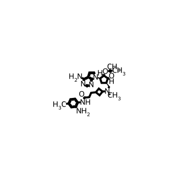 Cc1ccc(NC(=O)CCC2CC(N(C)C[C@H]3C[C@@H](n4ccc5c(N)ncnc54)[C@@H]4OC(C)(C)O[C@H]34)C2)c(N)c1